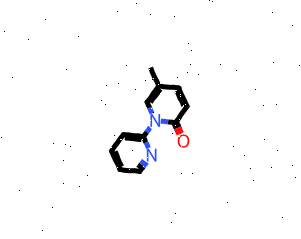 Cc1ccc(=O)n(-c2ccccn2)c1